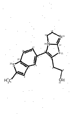 Cc1cc2cc(C3=C(CCO)SC4=NCCN43)ccc2s1